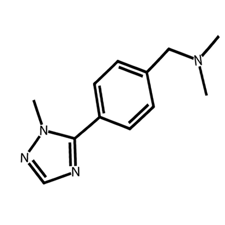 CN(C)Cc1ccc(-c2ncnn2C)cc1